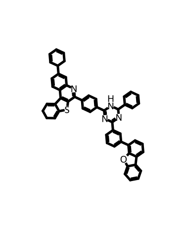 C1=CCC(c2ccc3c(c2)nc(-c2ccc(C4=NC(c5cccc(-c6cccc7c6oc6ccccc67)c5)=NC(c5ccccc5)N4)cc2)c2sc4c(c23)=CCCC=4)C=C1